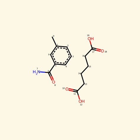 Cc1cccc(C(N)=O)c1.O=C(O)CCCCC(=O)O